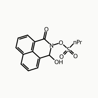 CCCS(=O)(=O)ON1C(=O)c2cccc3cccc(c23)C1O